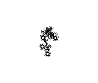 CNN(C(=O)CN1Cc2c(cccc2OCCCC(=O)N(Cc2ccccc2)Cc2ccccc2)N=C1NC(=O)NC(C)(C)C)c1ccccc1C